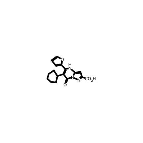 O=C(O)c1cc2[nH]c(-c3ccco3)c(C3CCCCC3)c(=O)n2n1